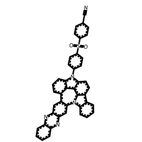 N#Cc1ccc(S(=O)(=O)c2ccc(-n3c4cccc5c6cc7nc8ccccc8nc7cc6n6c7ccccc7c7ccc3c(c54)c76)cc2)cc1